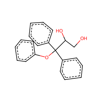 OCC(O)C(Oc1ccccc1)(c1ccccc1)c1ccccc1